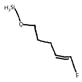 FC=CCCCO[SiH3]